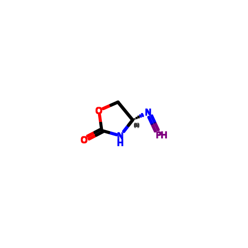 O=C1N[C@@H](N=P)CO1